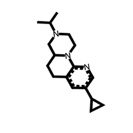 CC(C)N1CCN2c3ncc(C4CC4)cc3CCC2C1